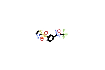 O=S(=O)(c1[c]ccc(-c2noc(C(F)(F)F)n2)c1)c1nccs1